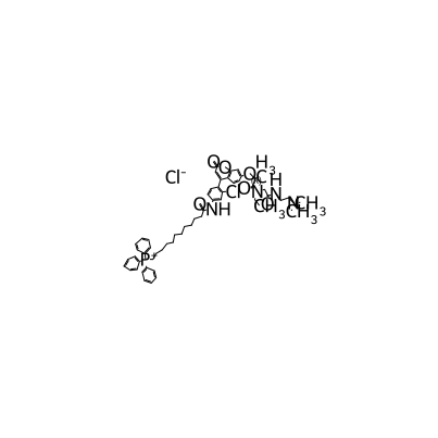 CCN(CC(=O)NCCN(C)C)C(=O)[C@@H](C)Oc1ccc2c(-c3ccc(NC(=O)CCCCCCCCCCC[P+](c4ccccc4)(c4ccccc4)c4ccccc4)cc3Cl)cc(=O)oc2c1.[Cl-]